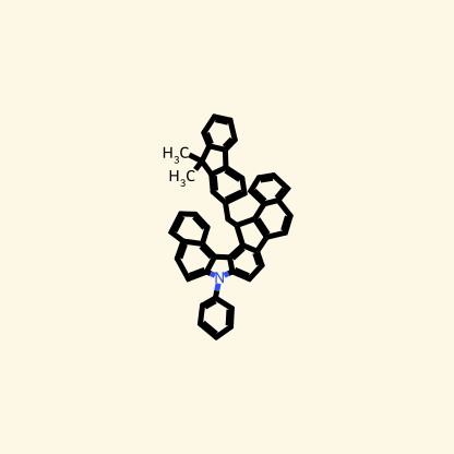 CC1(C)c2ccccc2-c2ccc(CC3c4c(ccc5ccccc45)-c4ccc5c(c43)c3c4ccccc4ccc3n5-c3ccccc3)cc21